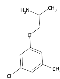 Cc1cc(Cl)cc(OCC(C)N)c1